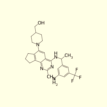 Cc1nc(NC(C)c2cc(N)cc(C(F)(F)F)c2)c2cc(N3CCC(CO)CC3)c3c(c2n1)CCC3